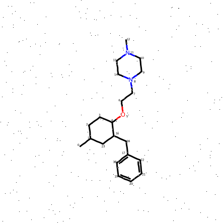 CC1CCC(OCCN2CCN(C)CC2)C(Cc2ccccc2)C1